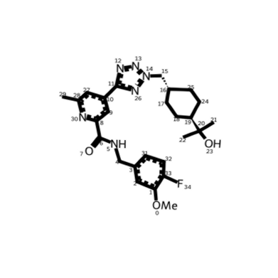 COc1cc(CNC(=O)c2cc(-c3nnn(C[C@H]4CC[C@H](C(C)(C)O)CC4)n3)cc(C)n2)ccc1F